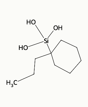 CCCC1([Si](O)(O)O)CCCCC1